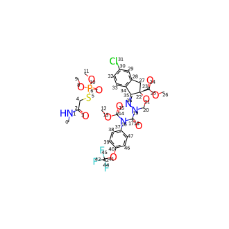 CNC(=O)CSP(=O)(OC)OC.COC(=O)N(C(=O)N1CO[C@@]2(C(=O)OC)Cc3cc(Cl)ccc3C2=N1)c1ccc(OC(F)(F)F)cc1